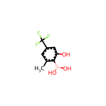 Cc1cc(C(F)(F)F)cc(O)c1B(O)O